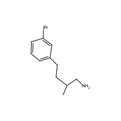 CC(CN)CCc1cccc(C(C)C)c1